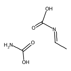 CC=NC(=O)O.NC(=O)O